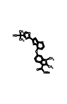 CNC(=O)c1c(C)n(C)c2cc(Oc3ccnc4cc(-c5nc(C(C)(C)O)co5)sc34)ccc12